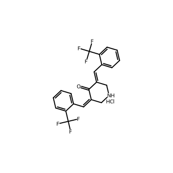 Cl.O=C1C(=Cc2ccccc2C(F)(F)F)CNCC1=Cc1ccccc1C(F)(F)F